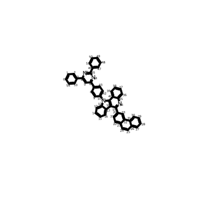 c1ccc(-c2cc(-c3ccc(-n4c5ccccc5c5c(-c6ccc7ccc8ccccc8c7c6)nc6ccccc6c54)cc3)nc(-c3ccccc3)n2)cc1